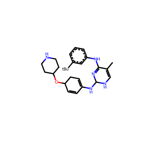 CC1=CNC(NC2=CCC(OC3CCNCC3)C=C2)N=C1Nc1cccc(C(C)(C)C)c1